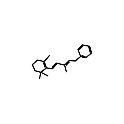 CC1=C(/C=C/C(C)=C/Cc2ccccc2)C(C)(C)CCC1